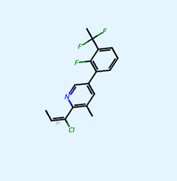 C/C=C(/Cl)c1ncc(-c2cccc(C(C)(F)F)c2F)cc1C